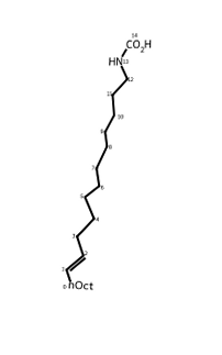 CCCCCCCC/C=C/CCCCCCCCCCNC(=O)O